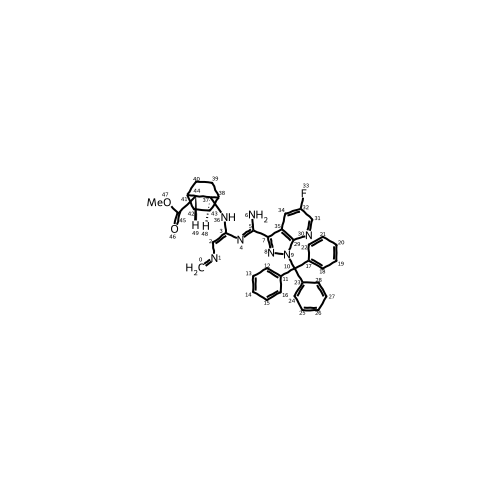 C=N/C=C(\N=C(/N)c1nn(C(c2ccccc2)(c2ccccc2)c2ccccc2)c2ncc(F)cc12)N[C@@H]1C2CCC(CC2)[C@H]1C(=O)OC